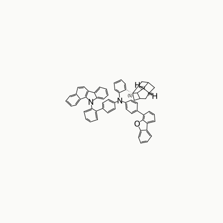 c1ccc(-n2c3ccccc3c3ccc4ccccc4c32)c(-c2ccc(N(c3ccc(-c4cccc5c4oc4ccccc45)cc3)c3ccccc3[C@]34CC5C[C@H]6CC(C3)[C@H]6C54)cc2)c1